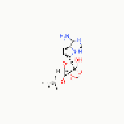 CC(C)(C)[Si](C)(C)OC1[C@H]2OC(O)(c3ccc4c(N)ncnn34)[C@@H]3OCO[C@]123